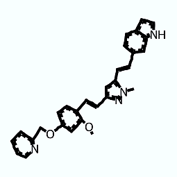 COc1cc(OCc2ccccn2)ccc1C=Cc1cc(C=Cc2ccc3cc[nH]c3c2)n(C)n1